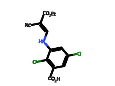 CCOC(=O)C(C#N)=CNc1cc(Cl)cc(C(=O)O)c1Cl